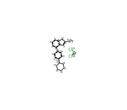 CC(C)C1=Cc2c(cccc2-c2ccc(C3CCCCC3)cc2)[CH]1.[Cl][Zr][Cl]